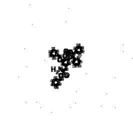 N[C@@H](Cc1ccc(OP(=O)(OCc2ccccc2)OCc2ccccc2)c(OCc2ccccc2)c1)C(=O)OCc1ccccc1